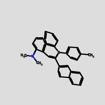 Cc1ccc(B(/C(=C\c2ccccc2N(C)C)c2ccc3ccccc3c2)c2ccccc2)cc1